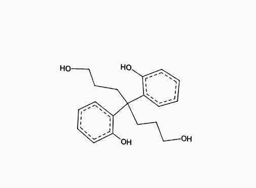 OCCCC(CCCO)(c1ccccc1O)c1ccccc1O